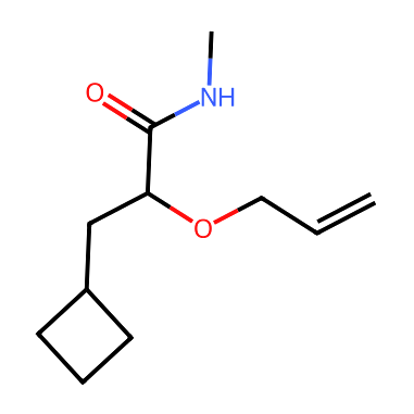 C=CCOC(CC1CCC1)C(=O)NC